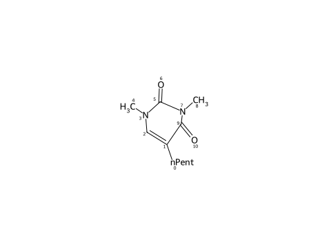 CCCCCc1cn(C)c(=O)n(C)c1=O